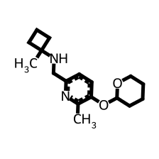 Cc1nc(CNC2(C)CCC2)ccc1OC1CCCCO1